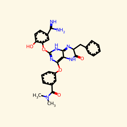 CN(C)C(=O)c1cccc(OC2=C3NC(=O)C(Cc4ccccc4)N=C3NC(Oc3cc(C(=N)N)ccc3O)=N2)c1